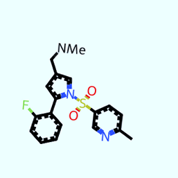 CNCc1cc(-c2ccccc2F)n(S(=O)(=O)c2ccc(C)nc2)c1